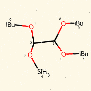 CCC(C)OC(O[SiH3])C(OC(C)CC)OC(C)CC